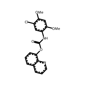 COc1cc(OC)c(NC(=O)Oc2cccc3cccnc23)cc1Cl